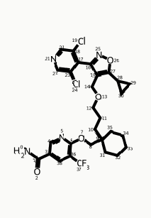 NC(=O)c1cnc(OCC2(CCCOCc3c(-c4c(Cl)cncc4Cl)noc3C3CC3)CCCCC2)c(C(F)(F)F)c1